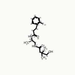 C[C@H](CNC(=O)CC(C)(C)CO)NC(=O)CCc1ccccc1F